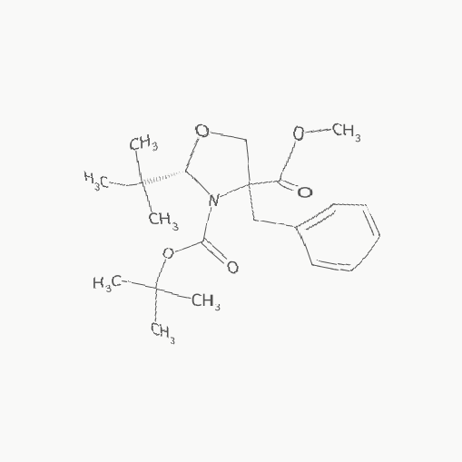 COC(=O)C1(Cc2ccccc2)CO[C@@H](C(C)(C)C)N1C(=O)OC(C)(C)C